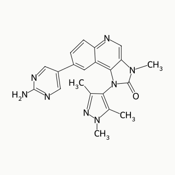 Cc1nn(C)c(C)c1-n1c(=O)n(C)c2cnc3ccc(-c4cnc(N)nc4)cc3c21